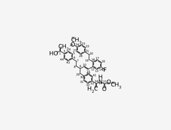 C=C(O)c1ccc(CCC(/C=C/c2cc(F)ccc2CCc2ccc(OC)cc2)Cc2ccc(C(=C)NC(=O)OC)cc2)cc1